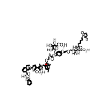 Cc1c(-c2ccc(N3CCc4cccc(C(=O)Nc5nc6ccccc6s5)c4C3)nc2C(=O)O)cnn1CC12CC3(C)CC(C)(C1)CC(OCCN(C)C(=O)OCc1ccc(OCCOCCNC(=N)C(CS(=O)(=O)O)NC(=O)CCCCCN4C(=O)C=CC4=O)cc1O[C@@H]1O[C@H](C(=O)O)[C@@H](O)[C@H](O)[C@H]1O)(C3)C2